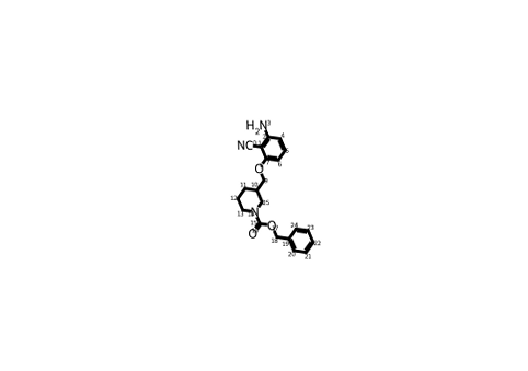 N#Cc1c(N)cccc1OCC1CCCN(C(=O)OCc2ccccc2)C1